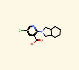 O=C(O)c1cc(Cl)cnc1N1CC2CCCCC2C1